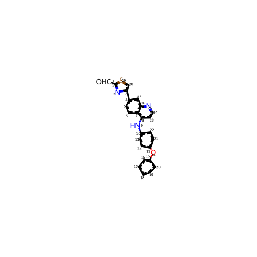 O=Cc1nc(-c2ccc3c(Nc4ccc(Oc5ccccc5)cc4)ccnc3c2)cs1